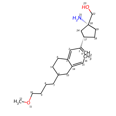 C=C(/C=C1/CCC(CCCCOC)C/C1=C/C)[C@H]1CC[C@](N)(CO)C1